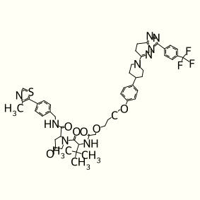 Cc1ncsc1-c1ccc(CNC(=O)C2CC(=O)CN2C(=O)C(NC(=O)COCCCCOc2ccc(C3CCN(C4=Nn5c(nnc5-c5ccc(C(F)(F)F)cc5)CC4)CC3)cc2)C(C)(C)C)cc1